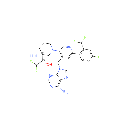 Nc1ncnc2c1ncn2Cc1cc(-c2ccc(F)cc2C(F)F)ncc1N1CCC[C@](N)([C@H](O)C(F)F)C1